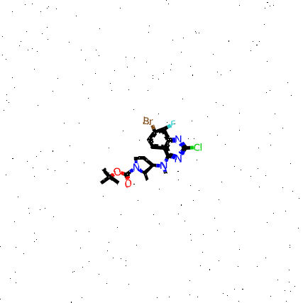 CC1C(N(C)c2nc(Cl)nc3c(F)c(Br)ccc23)CCN1C(=O)OC(C)(C)C